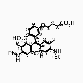 CCNC1=C[C@@H]2Oc3cc(NCC)c(C)cc3C(c3cc(OCCCC(=O)O)ccc3C(=O)O)=C2C=C1C